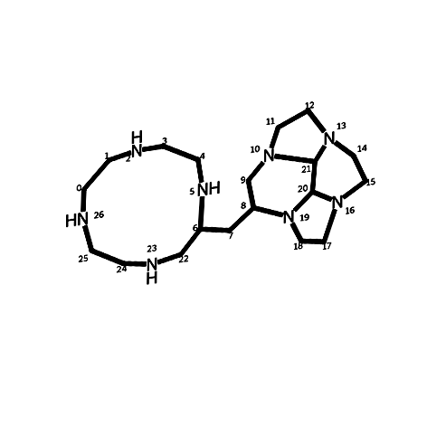 C1CNCCNC(CC2CN3CCN4CCN5CCN2C5C43)CNCCN1